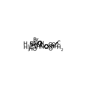 C=CCONS(=O)(=O)c1ccc(Nc2ncc(Br)c(N[C@@H](CO)C(C)C)n2)cc1